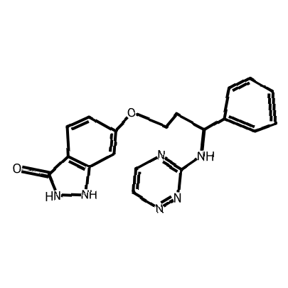 O=c1[nH][nH]c2cc(OCCC(Nc3nccnn3)c3ccccc3)ccc12